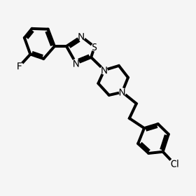 Fc1cccc(-c2nsc(N3CCN(CCc4ccc(Cl)cc4)CC3)n2)c1